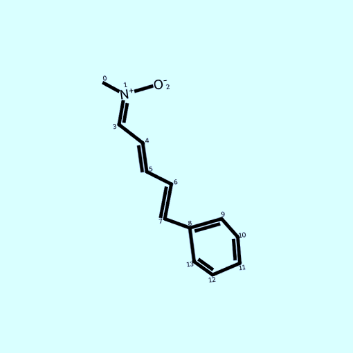 C[N+]([O-])=CC=CC=Cc1ccccc1